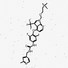 Cc1cc(CNC(=O)Nc2cc(F)c(Oc3ccnc4c3c(C(F)(F)F)cn4COCC[Si](C)(C)C)c(F)c2)ccn1